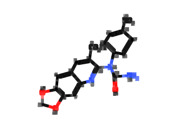 CCOC(=O)c1cc2cc3c(cc2nc1N(C(N)=O)c1ccc([N+](=O)[O-])cc1)OCO3